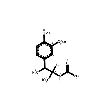 CCCC(=O)NC(CC)(C(=O)O)C(C)c1ccc(OC)c(OC)c1